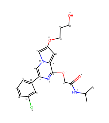 CC(C)NC(=O)COc1nc(-c2cccc(Cl)c2)cn2cc(OCCCO)cc12